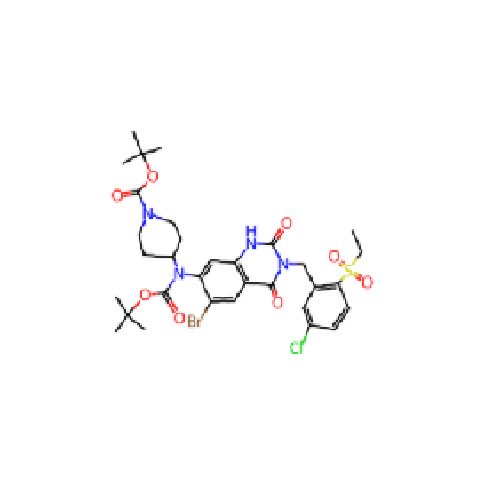 CCS(=O)(=O)c1ccc(Cl)cc1Cn1c(=O)[nH]c2cc(N(C(=O)OC(C)(C)C)C3CCN(C(=O)OC(C)(C)C)CC3)c(Br)cc2c1=O